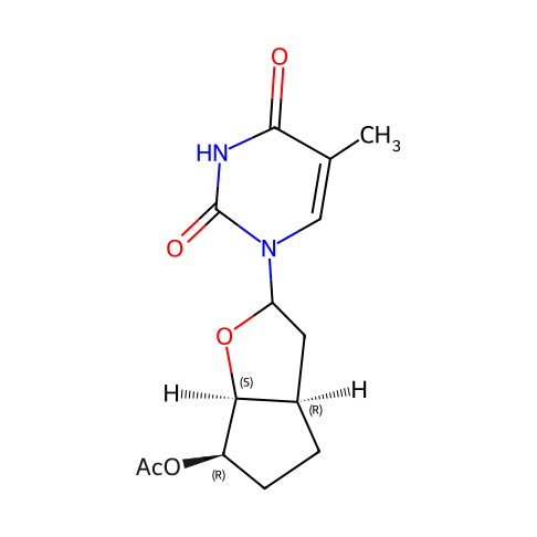 CC(=O)O[C@@H]1CC[C@@H]2CC(n3cc(C)c(=O)[nH]c3=O)O[C@@H]21